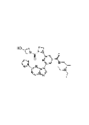 CCN(CC)C(C)CNC(=O)c1cc(-c2cnn3ccc(-c4cccs4)nc23)nc(N2CC[C@H]2C(=O)N2CC(O)C2)c1